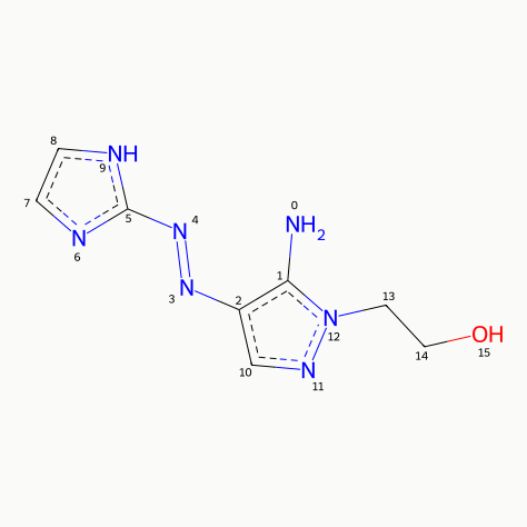 Nc1c(N=Nc2ncc[nH]2)cnn1CCO